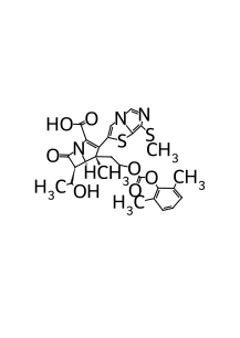 CSc1ncn2cc(C3=C(C(=O)O)N4C(=O)[C@H](C(C)O)[C@@H]4[C@@]3(C)CCOC(=O)Oc3c(C)cccc3C)sc12